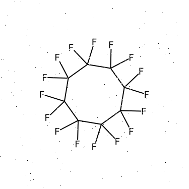 FC1(F)C(F)(F)C(F)(F)C(F)(F)C(F)(F)C(F)(F)C(F)(F)C1(F)F